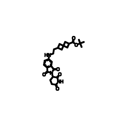 CC(C)(C)OC(=O)C1CC2(CC(CCNc3ccc4c(c3)C(=O)N(C3CCC(=O)NC3=O)C4=O)C2)C1